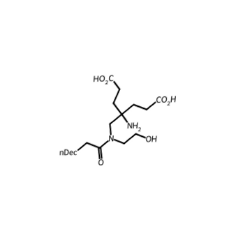 CCCCCCCCCCCC(=O)N(CCO)CC(N)(CCC(=O)O)CCC(=O)O